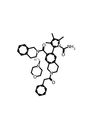 Cc1c(C)c(-c2cc3c(cc2C(=O)N2Cc4ccccc4C[C@H]2CN2CCOCC2)CN(C(=O)Cc2ccccc2)CC3)n(C(N)=O)c1C